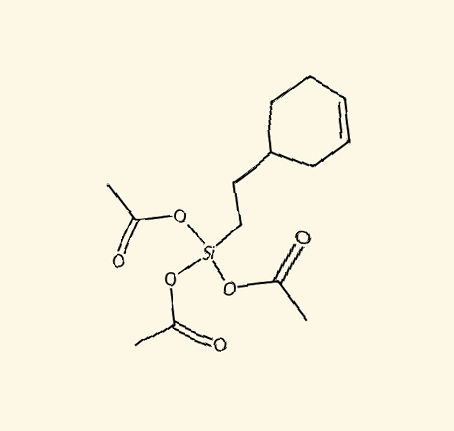 CC(=O)O[Si](CCC1CC=CCC1)(OC(C)=O)OC(C)=O